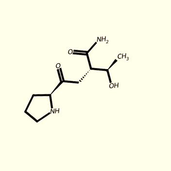 C[C@@H](O)[C@H](CC(=O)[C@@H]1CCCN1)C(N)=O